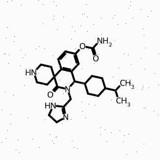 CC(C)C1CCC(C2c3cc(OC(N)=O)ccc3C3(CCNCC3)C(=O)N2CC2=NCCN2)CC1